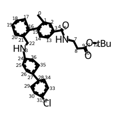 Cc1cc(C(=O)NCCC(=O)OC(C)(C)C)ccc1-c1ccccc1CNc1ccc(-c2ccc(Cl)cc2)cc1